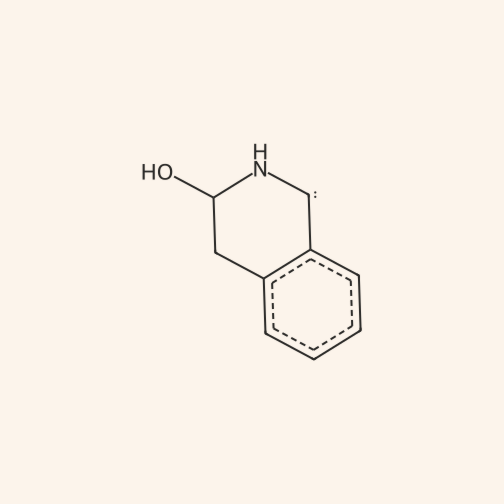 OC1Cc2ccccc2[C]N1